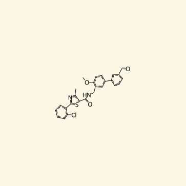 COc1ccc(-c2cccc(C=O)c2)cc1CNC(=O)c1sc(-c2ccccc2Cl)nc1C